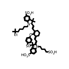 CCC(C)(C)CCCCC[N+]1=C(/C=C/C2=C(Oc3ccc(S(=O)(=O)O)cc3)C(=C/C=C3/N(CCCCS(=O)(=O)O)c4ccc(S(=O)(=O)O)cc4C3(C)C)/CCC2)C(C)(C)c2cc(S(=O)(=O)O)ccc21